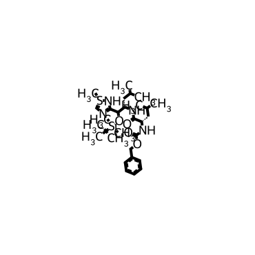 CC(C)C[C@H](NC(=O)OCc1ccccc1)C(=O)N[C@@H](CC(C)C)C(O[Si](C)(C)C(C)(C)C)C1=NC=S(C)N1